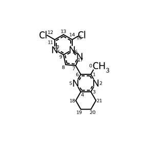 Cc1nc2c(nc1-c1cc3nc(Cl)cc(Cl)n3n1)CCCC2